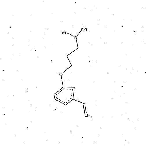 C=Cc1cccc(OCCCN(CCC)C(C)C)c1